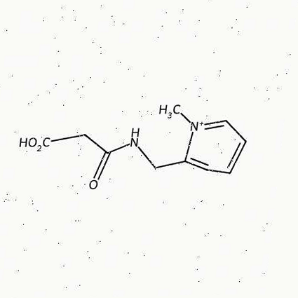 C[n+]1ccccc1CNC(=O)CC(=O)O